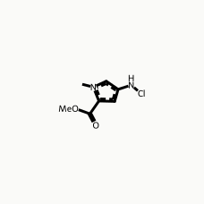 COC(=O)c1cc(NCl)cn1C